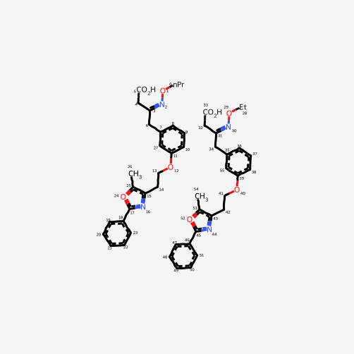 CCCON=C(CC(=O)O)Cc1cccc(OCCc2nc(-c3ccccc3)oc2C)c1.CCON=C(CC(=O)O)Cc1cccc(OCCc2nc(-c3ccccc3)oc2C)c1